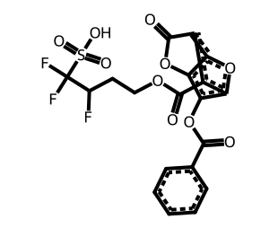 O=C(Oc1c2c3oc1c(C(=O)OCCC(F)C(F)(F)S(=O)(=O)O)c3C(=O)O2)c1ccccc1